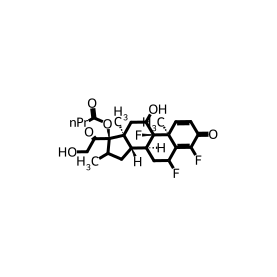 CCCC(=O)O[C@]1(C(=O)CO)C(C)C[C@H]2[C@@H]3CC(F)C4=C(F)C(=O)C=C[C@]4(C)[C@@]3(F)C(O)C[C@@]21C